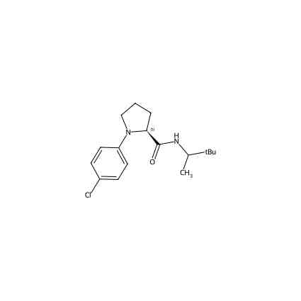 CC(NC(=O)[C@@H]1CCCN1c1ccc(Cl)cc1)C(C)(C)C